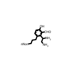 CCCCCCCCCCCCc1ccc(O)c(C=O)c1C(N)CN